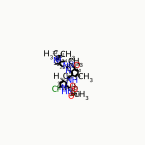 Cc1cc([C@@H](C)Nc2ccc(Cl)nc2C(=O)NS(C)(=O)=O)c2nc(N3Cc4cnn(C(C)C)c4C3)n(C)c(=O)c2c1